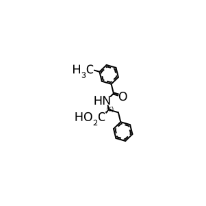 Cc1cccc(C(=O)N[C@@H](Cc2ccccc2)C(=O)O)c1